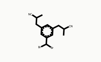 CC(C#N)Cc1cc(CC(C)C#N)cc(C(Br)Br)c1